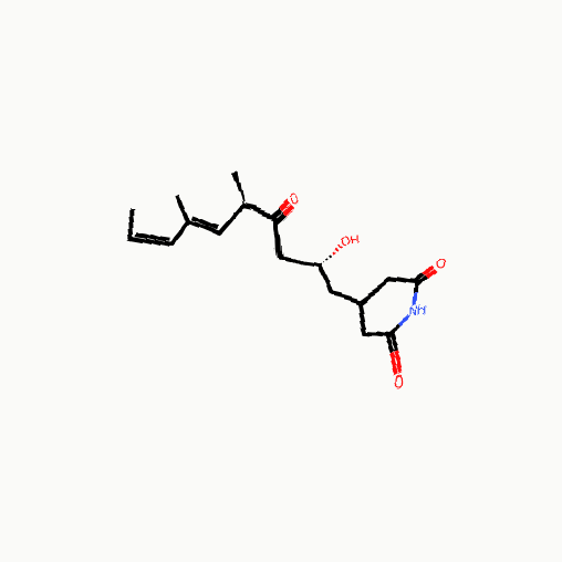 C/C=C\C(C)=C\[C@@H](C)C(=O)C[C@H](O)CC1CC(=O)NC(=O)C1